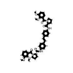 COc1cccc(C(=O)N2CCCC2C(=O)Nc2ccc(/C=C/c3ccc(NC(=O)[C@@H]4CCCN4C(=O)c4cccc(OC)c4OC)cc3)cc2)c1OC